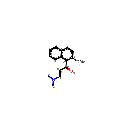 COc1ccc2ccccc2c1C(=O)C=CN(C)C